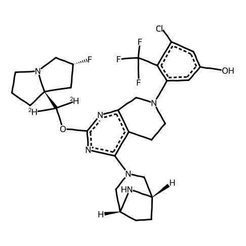 [2H]C([2H])(Oc1nc2c(c(N3C[C@H]4CC[C@@H](C3)N4)n1)CCN(c1cc(O)cc(Cl)c1C(F)(F)F)C2)[C@@]12CCCN1C[C@H](F)C2